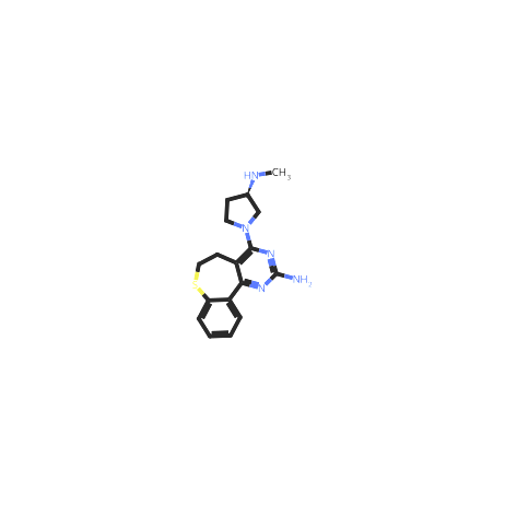 CN[C@@H]1CCN(c2nc(N)nc3c2CCSc2ccccc2-3)C1